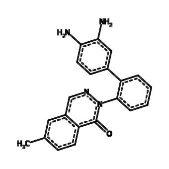 Cc1ccc2c(=O)n(-c3ccccc3-c3ccc(N)c(N)c3)ncc2c1